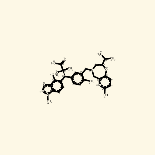 Cc1ccc([C@@H](c2ccc3c(nnn3C)c2C)C(C)(C)C(=O)O)cc1CN1Cc2nc(O)ccc2OC(C(C)C)C1